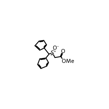 COC(=O)C[S@+]([O-])C(c1ccccc1)c1ccccc1